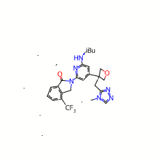 CC[C@H](C)Nc1cc(C2(Cc3nncn3C)COC2)cc(N2Cc3c(cccc3C(F)(F)F)C2=O)n1